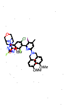 COc1ccc(CN(Cc2ccc(OC)cc2)c2cc(C)c(I)c(-c3c(Cl)cc4c(N5C6COCC5CN(C(=O)OC(C)(C)C)C6)nc(F)nc4c3F)n2)cc1